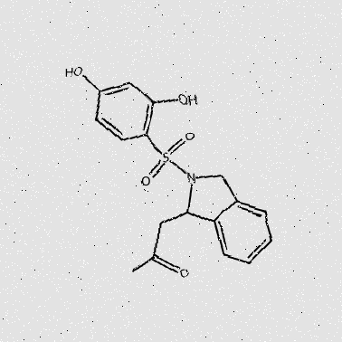 CC(=O)CC1c2ccccc2CN1S(=O)(=O)c1ccc(O)cc1O